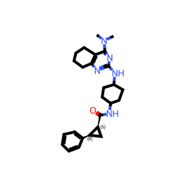 CN(C)c1nc(NC2CCC(NC(=O)[C@H]3C[C@H]3c3ccccc3)CC2)nc2c1CCCC2